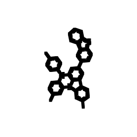 Cc1ccc(N2c3ccc(C)cc3B3c4cc(C)ccc4-c4cc(-c5ccc6sc7ccccc7c6c5)cc2c43)cc1